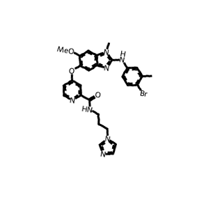 COc1cc2c(cc1Oc1ccnc(C(=O)NCCCn3ccnc3)c1)nc(Nc1ccc(Br)c(C)c1)n2C